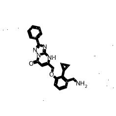 NCc1cccc(OCc2cc(=O)n3nc(-c4ccccc4)nc3[nH]2)c1C1CC1